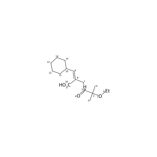 CCOC(C)(C)[PH](=O)C/C(=C/C1CCCCC1)C(=O)O